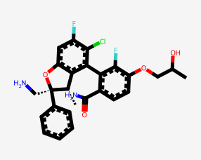 CC(O)COc1ccc(C(N)=O)c(-c2c(Cl)c(F)cc3c2[C@H](C)[C@@](CN)(c2ccccc2)O3)c1F